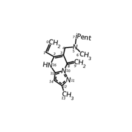 C=CC1=C(CN(C)C(C)CCC)C(=C)n2nc(C)cc2N1